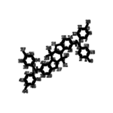 Cc1ccc(N(c2ccc(C)cc2)c2ccc3c(c2)C2=C(C3)C(C)(C)C3C(=Cc4ccc(N(c5ccc(C)cc5)c5ccc(C)cc5)cc43)C2(C)C)cc1